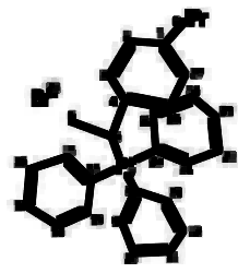 CC(C)c1ccc(C(C)[P+](c2ccccc2)(c2ccccc2)c2ccccc2)cc1.[Br-]